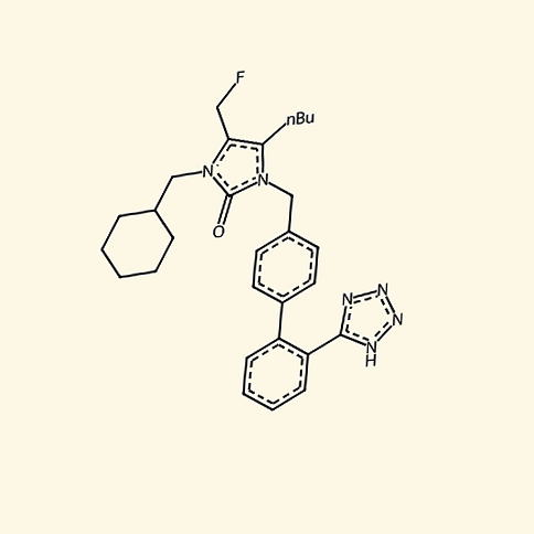 CCCCc1c(CF)n(CC2CCCCC2)c(=O)n1Cc1ccc(-c2ccccc2-c2nnn[nH]2)cc1